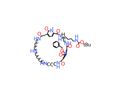 Cn1c2ccc(c1=O)C(=O)NCCCNCCCCNCCCNC(=O)c1ccc(n(OCc3ccccc3)c1=O)C(=O)NC[C@H](CCCCNC(=O)OC(C)(C)C)NC2=O